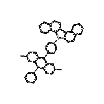 Cc1ccc2c(-c3ccc(-n4c5ccc6ccccc6c5c5ccc6ccccc6c54)cc3)c3cc(C)ccc3c(-c3ccccc3)c2c1